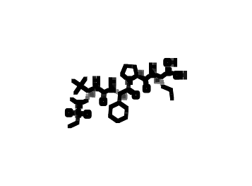 CCC[C@H](NC(=O)[C@@H]1CCCN1C(=O)[C@@H](NC(=O)N[C@H](CN(C)S(=O)(=O)CC)C(C)(C)C)C1CCCCC1)B(O)O